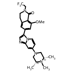 COc1cc(-c2cnc3cc(N4C[C@@H](C)N(C)[C@@H](C)C4)ccn23)cc2c1C(=O)N(CC(F)(F)F)CC2